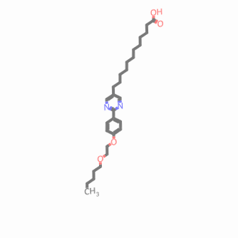 CCCCCOCCOc1ccc(-c2ncc(CCCCCCCCCCCC(=O)O)cn2)cc1